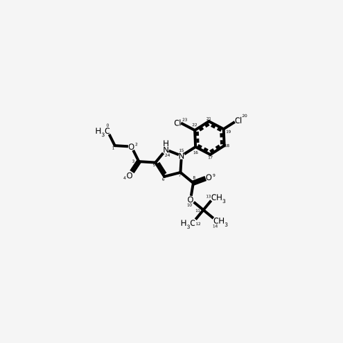 CCOC(=O)C1=CC(C(=O)OC(C)(C)C)N(c2ccc(Cl)cc2Cl)N1